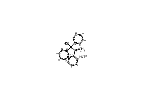 C=C(c1ccccc1)C(S)(c1ccccc1)c1ccccc1.Cl